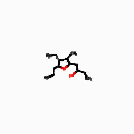 C=CC[C@@H]1O[C@H](C[C@H](O)CC)[C@H](C)[C@H]1CC